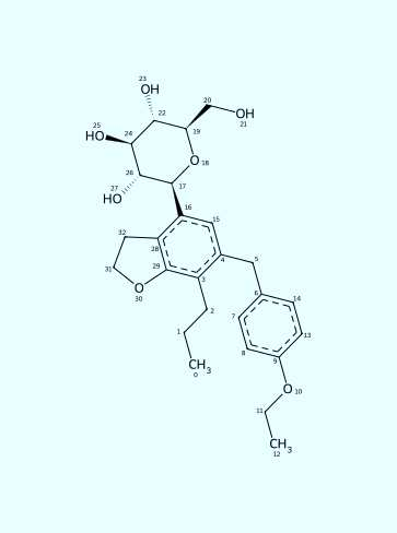 CCCc1c(Cc2ccc(OCC)cc2)cc([C@@H]2O[C@H](CO)[C@@H](O)[C@H](O)[C@H]2O)c2c1OCC2